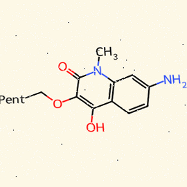 CCCC(C)COc1c(O)c2ccc(N)cc2n(C)c1=O